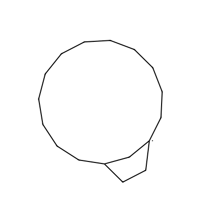 C1CCCCCCC2CC[C](CCCCC1)C2